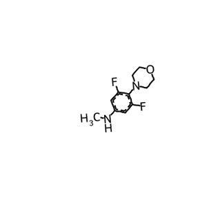 CNc1cc(F)c(N2CCOCC2)c(F)c1